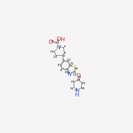 O=C(O)N1CCC(c2ccc3nc(OC4CCNCC4)sc3c2)CC1